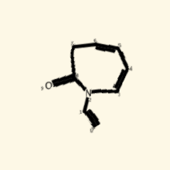 C=CN1C=CC=CCC1=O